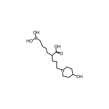 O=C(O)C(CCCCB(O)O)CCCN1CCC(O)CC1